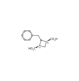 O=C(O)[C@H]1C[C@@H](C(=O)O)N1Cc1ccccc1